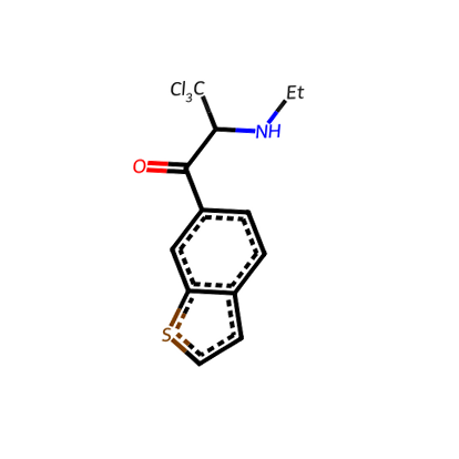 CCNC(C(=O)c1ccc2ccsc2c1)C(Cl)(Cl)Cl